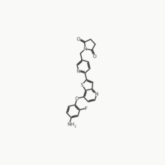 Nc1ccc(Oc2ccnc3cc(-c4ccc(CN5C(=O)CCC5=O)cn4)sc23)c(F)c1